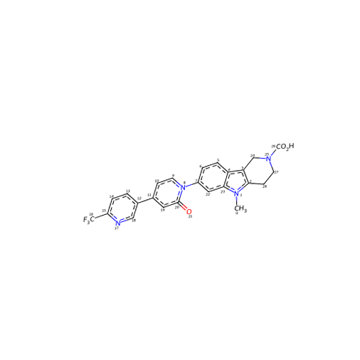 Cn1c2c(c3ccc(-n4ccc(-c5ccc(C(F)(F)F)nc5)cc4=O)cc31)CN(C(=O)O)CC2